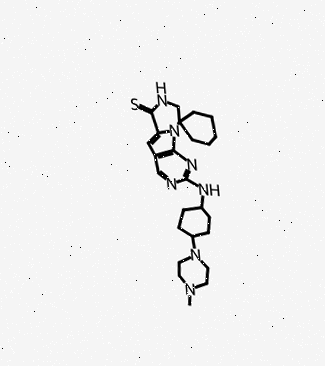 CN1CCN(C2CCC(Nc3ncc4cc5n(c4n3)C3(CCCCC3)CNC5=S)CC2)CC1